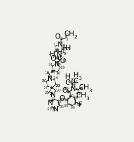 C=CC(=O)N1C[C@@H]2C[C@H]1CN2S(=O)(=O)N1CC[C@H](CN2CCC3(CC2)CN(c2ncncc2Oc2ccc(F)cc2C(=O)N(C(C)C)C(C)C)C3)C1